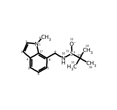 Cn1ccc2cccc(CN[S+]([O-])C(C)(C)C)c21